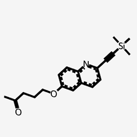 CC(=O)CCCOc1ccc2nc(C#C[Si](C)(C)C)ccc2c1